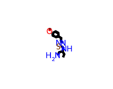 CCC(CN)Nc1nc(Cc2ccc(OC)cc2)ns1